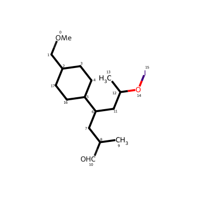 COCC1CCC(C(CC(C)C=O)CC(C)OI)CC1